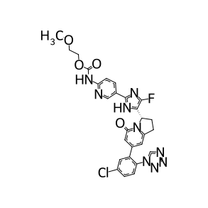 COCCOC(=O)Nc1ccc(-c2nc(F)c([C@@H]3CCc4cc(-c5cc(Cl)ccc5-n5cnnn5)cc(=O)n43)[nH]2)cn1